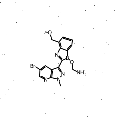 COCc1cccc2c1N=C(c1nn(C)c3ncc(Br)cc13)B2OCN